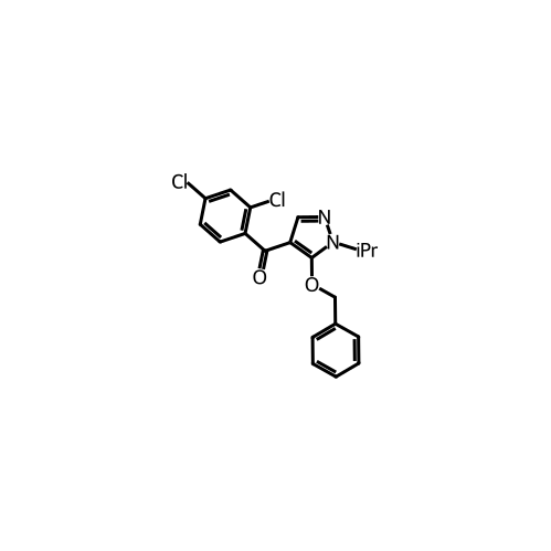 CC(C)n1ncc(C(=O)c2ccc(Cl)cc2Cl)c1OCc1ccccc1